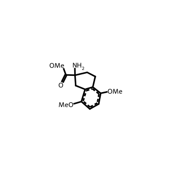 COC(=O)C1(N)CCc2c(OC)ccc(OC)c2C1